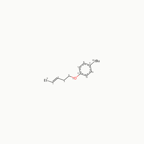 CCC=CCCOc1ccc(C(C)(C)C)cc1